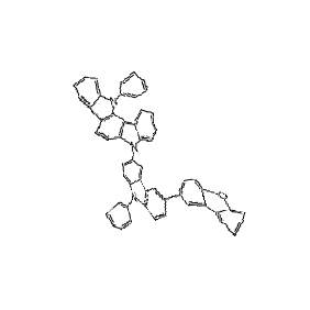 c1ccc(-n2c3ccc(-c4ccc5oc6ccccc6c5c4)cc3c3cc(-n4c5ccccc5c5c4ccc4c6ccccc6n(-c6ccccc6)c45)ccc32)cc1